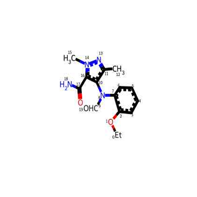 CCOc1ccccc1N(C=O)c1c(C)nn(C)c1C(N)=O